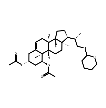 CC(=O)O[C@@H]1CC2=CC[C@H]3[C@@H]4CC[C@H]([C@H](C)COC5CCCCO5)[C@@]4(C)CC[C@@H]3[C@@]2(C)[C@@H](OC(C)=O)C1